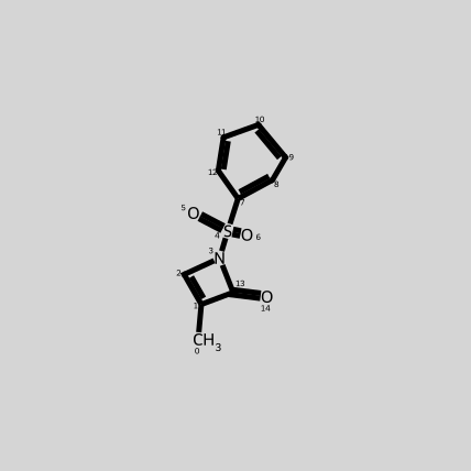 CC1=CN(S(=O)(=O)c2ccccc2)C1=O